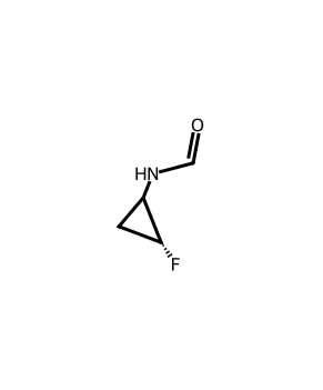 O=CNC1C[C@H]1F